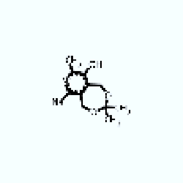 Cc1n[c]([Na])c2c(c1O)COC(C)(C)OC2